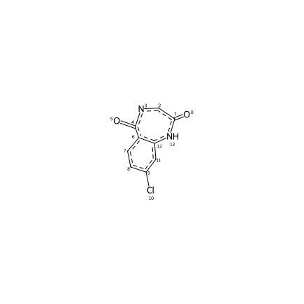 O=c1cnc(=O)c2ccc(Cl)cc2[nH]1